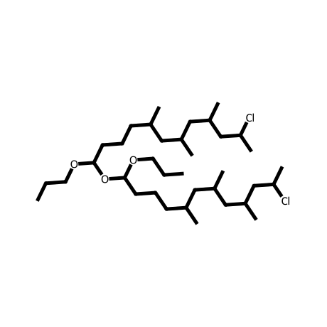 CCCOC(CCCC(C)CC(C)CC(C)CC(C)Cl)OC(CCCC(C)CC(C)CC(C)CC(C)Cl)OCCC